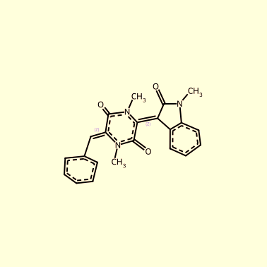 CN1C(=O)/C(=c2/c(=O)n(C)/c(=C\c3ccccc3)c(=O)n2C)c2ccccc21